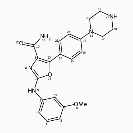 COc1cccc(Nc2nc(C(N)=O)c(-c3ccc(N4CCNCC4)cc3)o2)c1